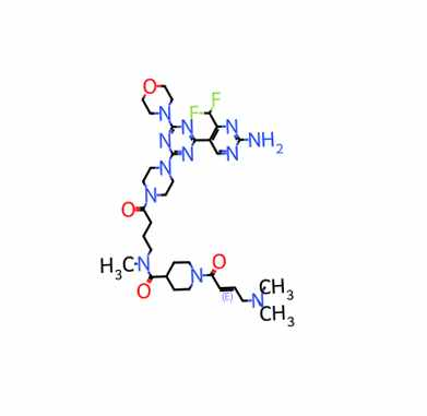 CN(C)C/C=C/C(=O)N1CCC(C(=O)N(C)CCCC(=O)N2CCN(c3nc(-c4cnc(N)nc4C(F)F)nc(N4CCOCC4)n3)CC2)CC1